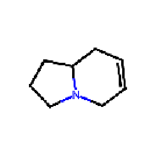 [C]1CCN2CC=CCC12